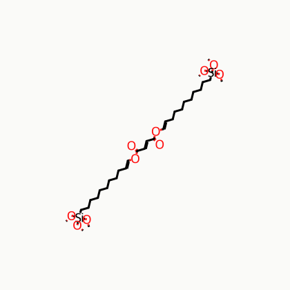 CO[Si](CCCCCCCCCC=COC(=O)C=CC(=O)OC=CCCCCCCCCC[Si](OC)(OC)OC)(OC)OC